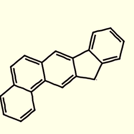 [CH]1c2ccccc2-c2cc3ccc4ccccc4c3cc21